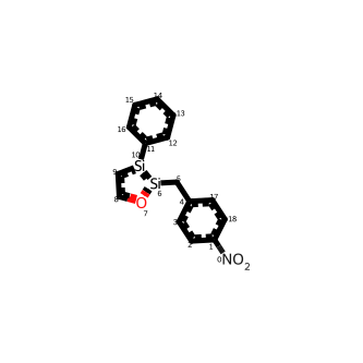 O=[N+]([O-])c1ccc(C[si]2occ[si]2-c2ccccc2)cc1